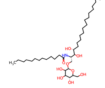 CCCCCCCCCCCCCC[C@@H](O)[C@@H](O)[C@H](CO[C@H]1OC(CO)[C@H](O)C(O)C1O)NC(=O)CCCCCCCCCCCC